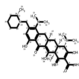 B=C1C(C(N)=O)=C(O)[C@@H](N(C)C)[C@@H]2C[C@@H]3Cc4c(c(O)cc(CN5CCCC[C@@H]5C)c4N(C)C)C(=O)C3=C(O)[C@]12P